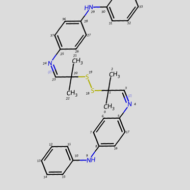 CC(C)(/C=N\c1ccc(Nc2ccccc2)cc1)SSC(C)(C)/C=N\c1ccc(Nc2ccccc2)cc1